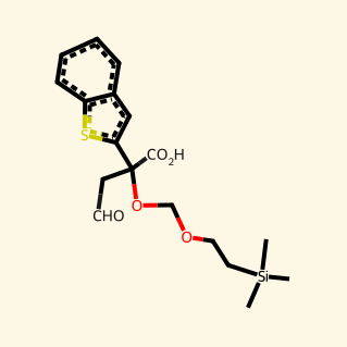 C[Si](C)(C)CCOCOC(CC=O)(C(=O)O)c1cc2ccccc2s1